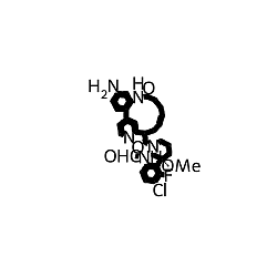 CO[C@@]1(c2c(NC=O)ccc(Cl)c2F)CCCN(C(=O)C2C/C=C\CCC(=O)Nc3cc(N)ccc3-c3ccnc2c3)C1